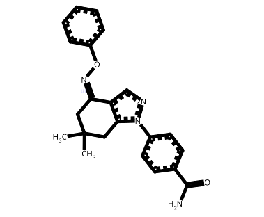 CC1(C)C/C(=N/Oc2ccccc2)c2cnn(-c3ccc(C(N)=O)cc3)c2C1